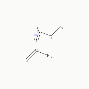 C=C(F)/C=N\CC